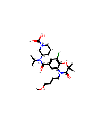 COCCCCN1C(=O)C(C)(C)Oc2c(F)cc(C(=O)N(C(C)C)[C@@H]3CCCN(C(=O)O)C3)cc21